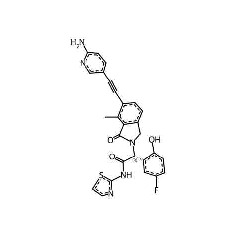 Cc1c(C#Cc2ccc(N)nc2)ccc2c1C(=O)N([C@@H](C(=O)Nc1nccs1)c1cc(F)ccc1O)C2